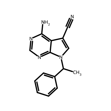 CC(c1ccccc1)n1cc(C#N)c2c(N)ncnc21